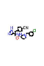 CC(Cc1ccc(C#N)cc1)(NC(=O)[C@H]1CCCN(Cc2cccc(Cl)c2)C1)c1cnc[nH]1